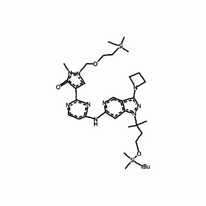 Cn1c(=O)c(-c2nccc(Nc3cc4c(cn3)c(N3CCC3)nn4C(C)(C)CCO[Si](C)(C)C(C)(C)C)n2)cn1COCC[Si](C)(C)C